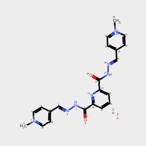 C[n+]1ccc(C=NNC(=O)c2cccc(C(=O)NN=Cc3cc[n+](C)cc3)n2)cc1.[I-].[I-]